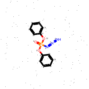 N=[N+]=NP(=O)(Oc1ccccc1)Oc1ccccc1